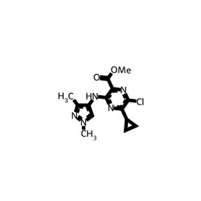 COC(=O)c1nc(Cl)c(C2CC2)nc1Nc1cn(C)nc1C